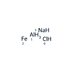 Cl.[AlH3].[Fe].[NaH]